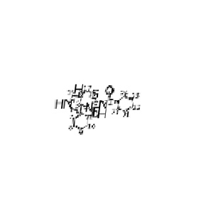 O=C(NC1=NC2(c3ccccc3F)CNC[C@H]2CS1)c1ccccc1